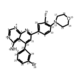 Nc1ncnc2nc(-c3ccc(N4CCOCC4)c(F)c3)cc(-c3cccc(Br)c3)c12